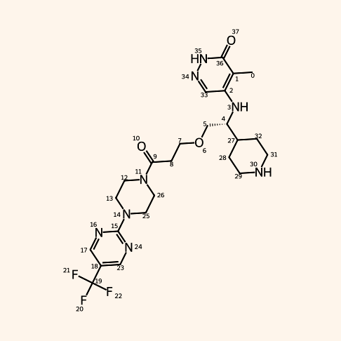 Cc1c(N[C@@H](COCCC(=O)N2CCN(c3ncc(C(F)(F)F)cn3)CC2)C2CCNCC2)cn[nH]c1=O